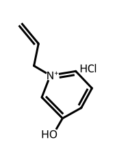 C=CC[n+]1cccc(O)c1.Cl